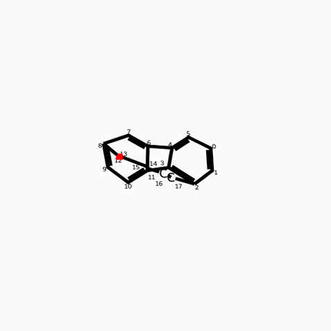 c1cc2c3c(c1)-c1cc(ccc1-3)CCCCCC2